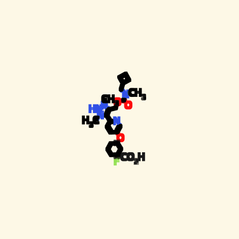 CN(CC1CCC1)C(=O)OCC1=C(c2ccc(O[C@H]3CCC[C@](F)(C(=O)O)C3)cn2)N(C)NN1C